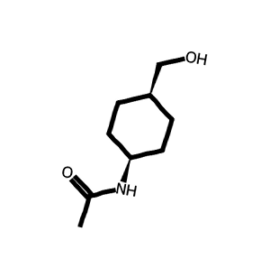 CC(=O)N[C@H]1CC[C@@H](CO)CC1